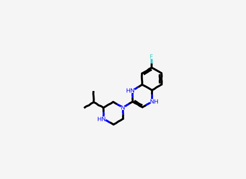 CC(C)C1CN(C2=CNC3C=CC(F)=CC3N2)CCN1